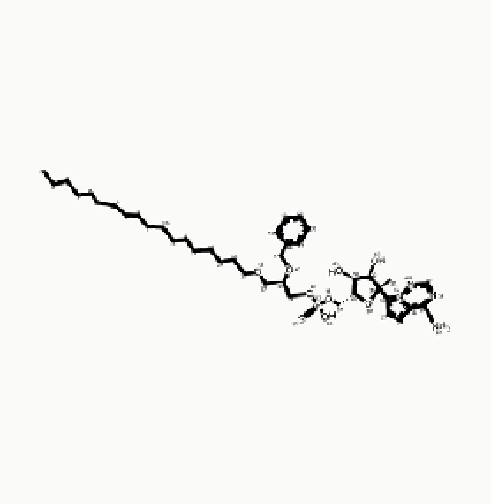 CCCCCCCCCCCCCCCCCCOC[C@H](COP(O)(=S)OC[C@H]1O[C@@](C)(c2ccc3c(N)ncnn23)[C@H](O)[C@@H]1O)OCc1ccccc1